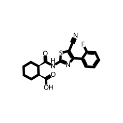 N#Cc1sc(NC(=O)[C@@H]2CCCC[C@@H]2C(=O)O)nc1-c1ccccc1F